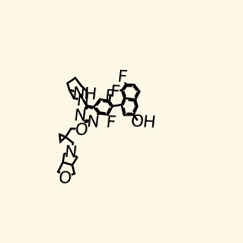 Oc1cc(-c2c(F)cc3c(N4CC5CCC(C4)N5)nc(OCC4(CN5CC6COCC6C5)CC4)nc3c2F)c2c(F)c(F)ccc2c1